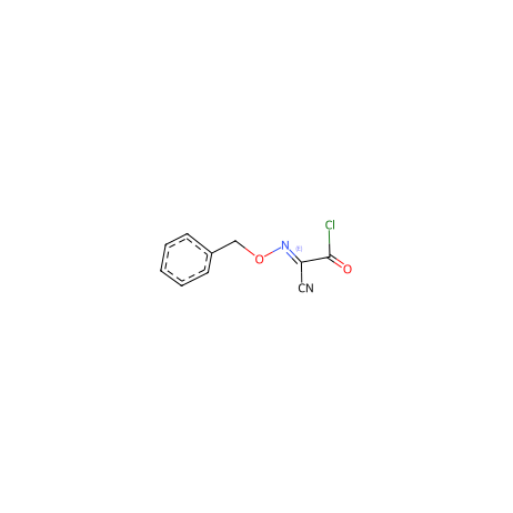 N#C/C(=N\OCc1ccccc1)C(=O)Cl